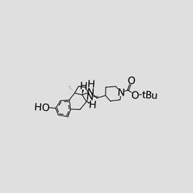 CN1CC[C@]2(C)c3cc(O)ccc3C[C@@H]1[C@H]2NCC1CCN(C(=O)OC(C)(C)C)CC1